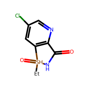 CC[SH]1(=O)NC(=O)c2ncc(Cl)cc21